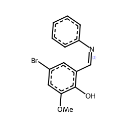 COc1cc(Br)cc(/C=N\c2ccccc2)c1O